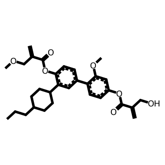 C=C(CO)C(=O)Oc1ccc(-c2ccc(OC(=O)C(=C)COC)c(C3CCC(CCC)CC3)c2)c(OC)c1